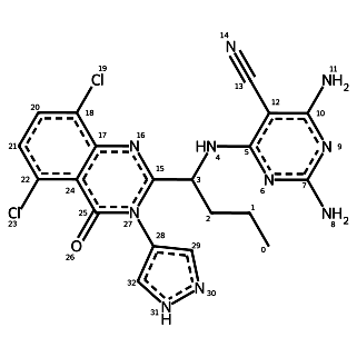 CCCC(Nc1nc(N)nc(N)c1C#N)c1nc2c(Cl)ccc(Cl)c2c(=O)n1-c1cn[nH]c1